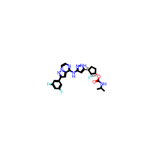 CC(C)NC(=O)O[C@@H]1CC[C@H](c2cc(Nc3nccn4nc(-c5cc(F)cc(F)c5)cc34)n[nH]2)[C@H]1F